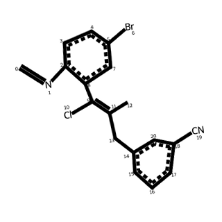 C=Nc1ccc(Br)cc1/C(Cl)=C(\C)Cc1cccc(C#N)c1